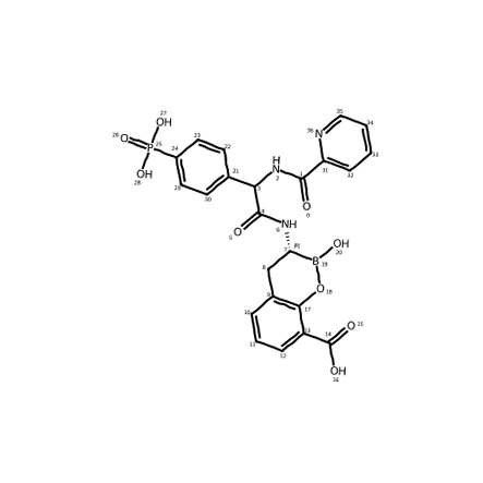 O=C(NC(C(=O)N[C@H]1Cc2cccc(C(=O)O)c2OB1O)c1ccc(P(=O)(O)O)cc1)c1ccccn1